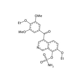 CCOc1ccc2c(C(=O)c3cc(OC)c(OCC)c(OC)c3)cncc2c1OS(N)(=O)=O